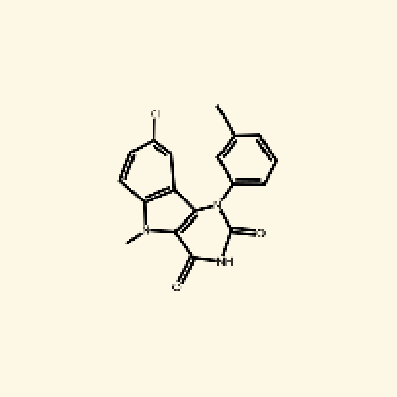 Cc1cccc(-n2c(=O)[nH]c(=O)c3c2c2cc(Cl)ccc2n3C)c1